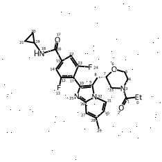 CCC(=O)N1CCO[C@@H](Cc2c(-c3c(F)cc(C(=O)NC4CC4)cc3F)nc3cc(C)ccn23)C1